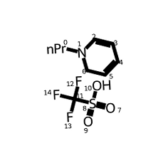 CCCN1C=CC=CC1.O=S(=O)(O)C(F)(F)F